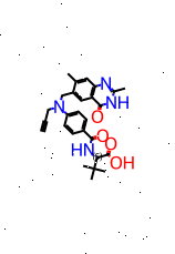 C#CCN(Cc1cc2c(=O)[nH]c(C)nc2cc1C)c1ccc(C(=O)N[C@H](C(=O)O)C(C)(C)C)cc1